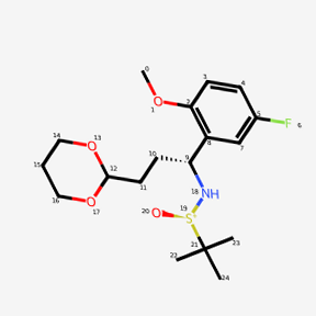 COc1ccc(F)cc1[C@@H](CCC1OCCCO1)N[S@+]([O-])C(C)(C)C